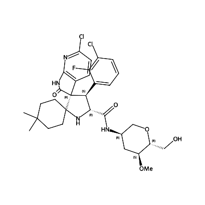 CO[C@H]1C[C@@H](NC(=O)[C@@H]2NC3(CCC(C)(C)CC3)[C@@]3(C(=O)Nc4nc(Cl)ccc43)[C@H]2c2cccc(Cl)c2F)CO[C@@H]1CO